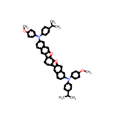 COc1ccc(N(c2ccc(C(C)C)cc2)c2ccc3cc4c(cc3c2)oc2c4ccc3c4cc5ccc(N(c6ccc(OC)cc6)c6ccc(C(C)C)cc6)cc5cc4oc32)cc1